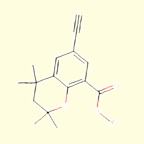 C#Cc1cc(C(=O)OC(C)C)c2c(c1)C(C)(C)CC(C)(C)O2